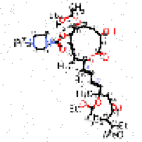 CCOC(C)OC(C)(/C=C/C=C(\C)C1OC(=O)CC(O)CCC(C)(OC(C)OCC)C(OC(=O)N2CCN(C(C)C)CC2)/C=C/C1C)CC1OC1C(C)C(CC)OC